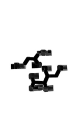 CCCCCCCCCCCC(O)CCCCCCCC.O=CC(O)C(O)C(O)CO